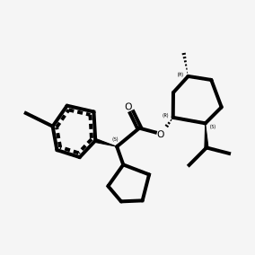 Cc1ccc([C@@H](C(=O)O[C@@H]2C[C@H](C)CC[C@H]2C(C)C)C2CCCC2)cc1